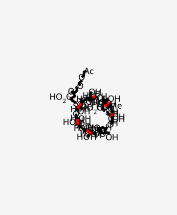 CN[C@H](CSCC1O[C@H]2O[C@H]3CC(O)[C@H](OC3CO)O[C@@H]3C(CO)O[C@H](O[C@@H]4C(CO)O[C@@H](O[C@@H]5C(SCC[C@@H](CC(=O)CCOCCOCCC(C)=O)C(=O)O)O[C@H](O[C@@H]6C(CO)O[C@@H](O[C@@H]7C(CO)O[C@@H](O[C@H]1[C@H](O)C2O)C(O)[C@H]7O)C(O)[C@H]6O)C(O)[C@H]5O)C(O)[C@H]4O)C(O)[C@H]3O)C(=O)O